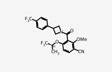 COc1c(C#N)ccc(O[C@@H](C)C(F)(F)F)c1C(=O)N1CC(c2ccc(C(F)(F)F)cc2)C1